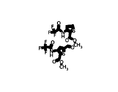 COC(=O)c1sc(C=O)cc1NC(=O)C(F)(F)F.COC(=O)c1sccc1NC(=O)C(F)(F)F